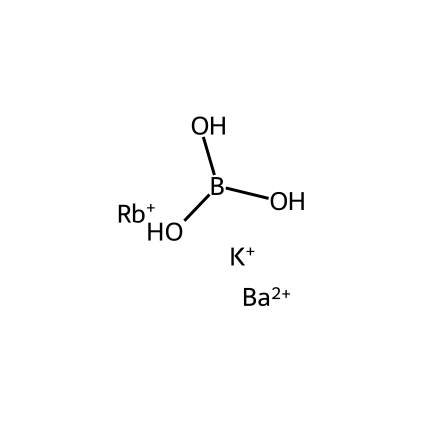 OB(O)O.[Ba+2].[K+].[Rb+]